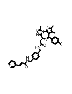 Cc1sc2c(c1C)C(c1ccc(Cl)cc1)=N[C@@H](CC(=O)NCc1ccc(CNC(=O)/C=C/c3cccnc3)cc1)c1nnc(C)n1-2